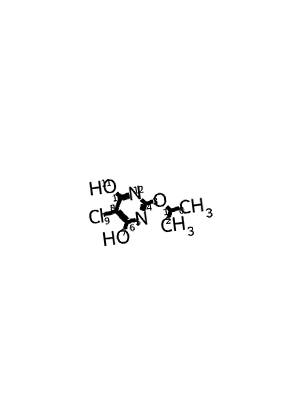 CC(C)Oc1nc(O)c(Cl)c(O)n1